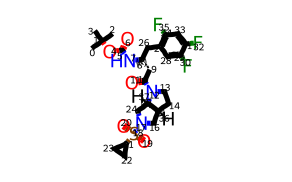 CC(C)(C)OC(=O)N[C@@H](CC(=O)N1CC[C@H]2CN(S(=O)(=O)C3CC3)C[C@H]21)Cc1cc(F)c(F)cc1F